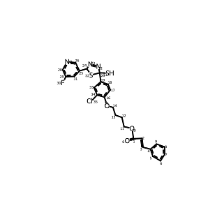 O=C(C=Cc1ccccc1)OCCCCOc1ccc(C2(S)N=NC(c3cncc(F)c3)S2)cc1Cl